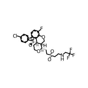 O=S(=O)(CCNCC(F)(F)F)CC[C@@H]1OCC[C@@]2(S(=O)(=O)c3ccc(Cl)cc3)c3c(F)ccc(F)c3OC[C@@H]12